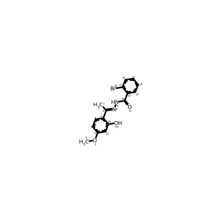 COc1ccc(/C(C)=N/NC(=O)c2ccccc2Br)c(O)c1